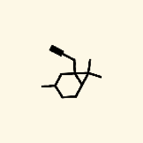 C#CCC12CC(C)CCC1C2(C)C